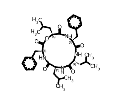 CC(C)C[C@@H]1NC(=O)[C@@H](CC(C)C)NC(=O)[C@H](Cc2ccccc2)NC(=O)[C@H](CC(C)C)OC(=O)[C@H](Cc2ccccc2)NC1=O